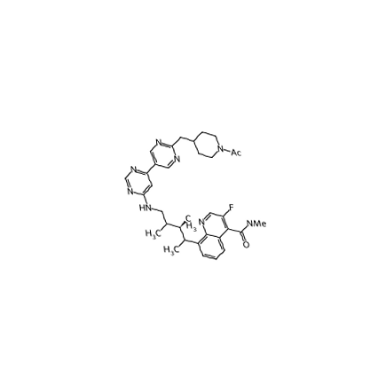 CNC(=O)c1c(F)cnc2c(C(C)[C@H](C)C(C)CNc3cc(-c4cnc(CC5CCN(C(C)=O)CC5)nc4)ncn3)cccc12